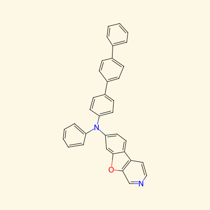 c1ccc(-c2ccc(-c3ccc(N(c4ccccc4)c4ccc5c(c4)oc4cnccc45)cc3)cc2)cc1